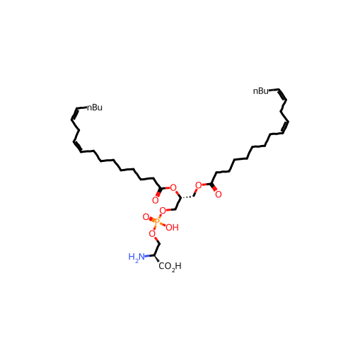 CCCC/C=C\C/C=C\CCCCCCCC(=O)OC[C@H](COP(=O)(O)OC[C@H](N)C(=O)O)OC(=O)CCCCCCC/C=C\C/C=C\CCCC